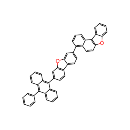 c1ccc(-c2c3ccccc3c(-c3ccc4c(c3)oc3cc(-c5cccc6c5ccc5oc7ccccc7c56)ccc34)c3ccccc23)cc1